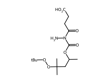 CC(CC(C)(C)OOC(C)(C)C)OC(=O)N(N)C(=O)CCC(=O)O